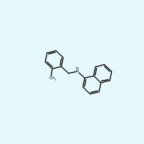 Cc1ccccc1CNc1cccc2ccccc12